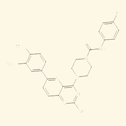 COc1ccc(-c2ccc3nc(N)nc(N4CCN(C(=O)Nc5ccc(F)cc5)CC4)c3n2)cc1OC